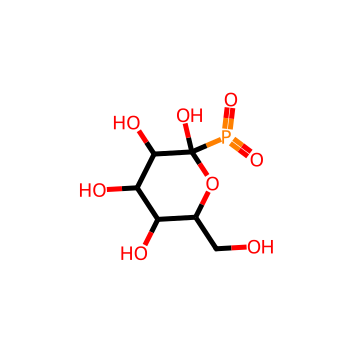 O=P(=O)C1(O)OC(CO)C(O)C(O)C1O